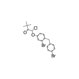 CC(C)(C)C(=O)C(Cl)Oc1ccc(Cc2ccc(Br)cc2)c(Br)c1